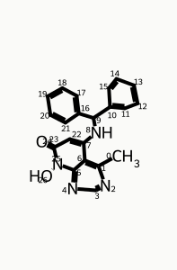 Cc1ncnc2c1c(NC(c1ccccc1)c1ccccc1)cc(=O)n2O